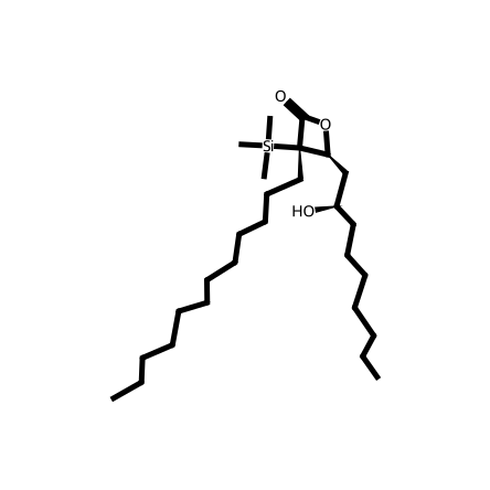 CCCCCCCCCCCC[C@@]1([Si](C)(C)C)C(=O)O[C@H]1C[C@H](O)CCCCCCC